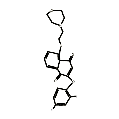 O=C1C(Oc2ccc(F)cc2F)=CC(=O)c2c(OCCN3CCOCC3)cccc21